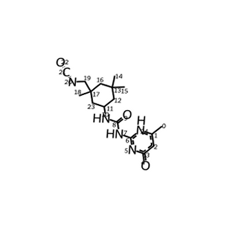 Cc1cc(=O)nc(NC(=O)NC2CC(C)(C)CC(C)(CN=C=O)C2)[nH]1